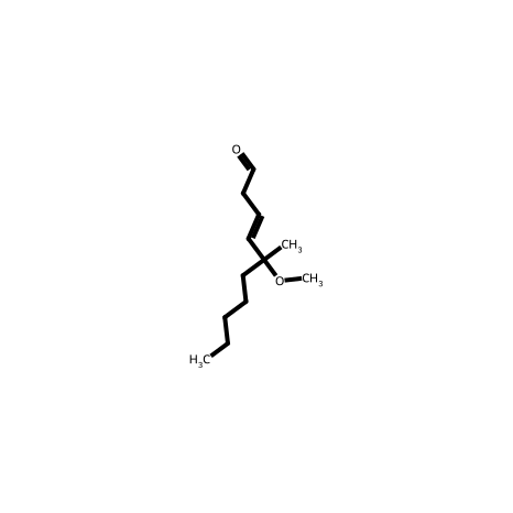 CCCCCC(C)(/C=C/CC=O)OC